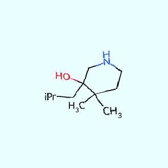 CC(C)CC1(O)CNCCC1(C)C